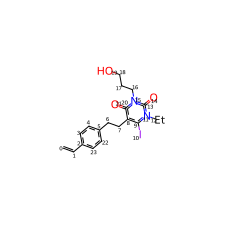 C=Cc1ccc(CCc2c(I)n(CC)c(=O)n(CCCO)c2=O)cc1